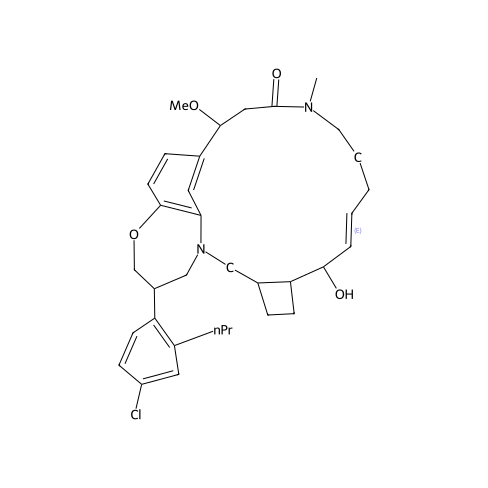 CCCc1cc(Cl)ccc1C1COc2ccc3cc2N(C1)CC1CCC1C(O)/C=C/CCCN(C)C(=O)CC3OC